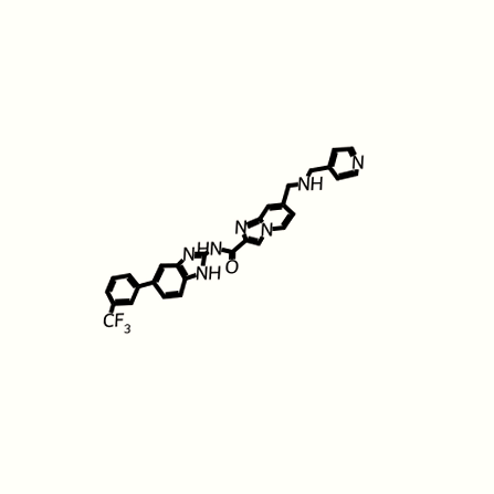 O=C(Nc1nc2cc(-c3cccc(C(F)(F)F)c3)ccc2[nH]1)c1cn2ccc(CNCc3ccncc3)cc2n1